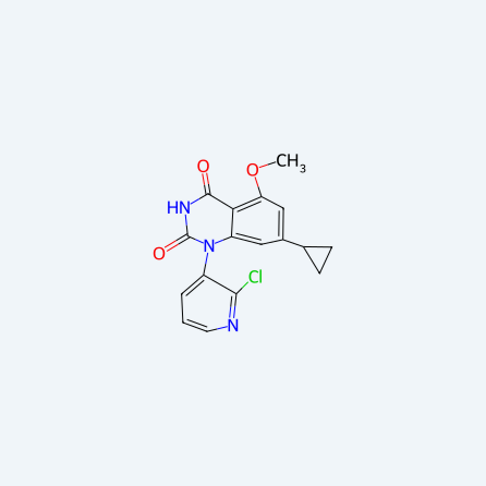 COc1cc(C2CC2)cc2c1c(=O)[nH]c(=O)n2-c1cccnc1Cl